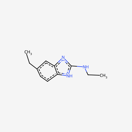 CCNc1nc2cc(CC)ccc2[nH]1